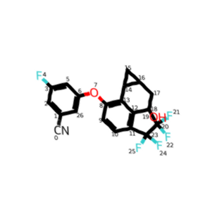 N#Cc1cc(F)cc(Oc2ccc3c4c2C2CC2CC4(O)C(F)(F)C3(F)F)c1